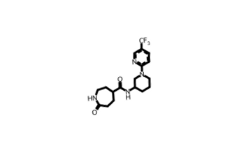 O=C1CCC(C(=O)NC2CCCN(c3ccc(C(F)(F)F)cn3)C2)CCN1